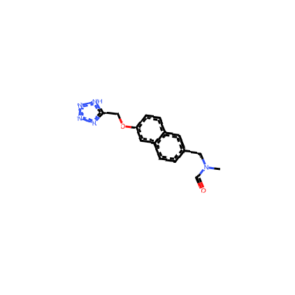 CN(C=O)Cc1ccc2cc(OCc3nnn[nH]3)ccc2c1